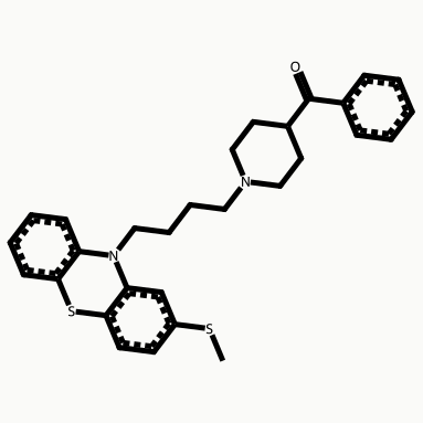 CSc1ccc2c(c1)N(CCCCN1CCC(C(=O)c3ccccc3)CC1)c1ccccc1S2